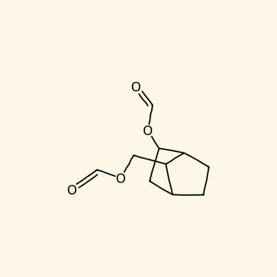 O=COCC1C2CCC1C(OC=O)C2